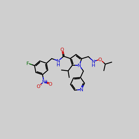 CC(C)ONCc1cc(C(=O)NCc2cc(F)cc([N+](=O)[O-])c2)c(C(C)C)n1Cc1cccnc1